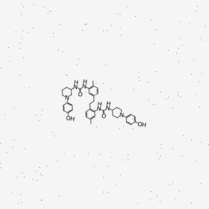 Cc1ccc(CCc2ccc(C)c(NC(=O)NC3CCCN(c4ccc(O)cc4)C3)c2)c(NC(=O)NC2CCN(c3ccc(O)cc3)CC2)c1